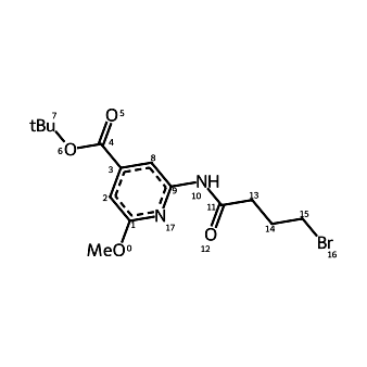 COc1cc(C(=O)OC(C)(C)C)cc(NC(=O)CCCBr)n1